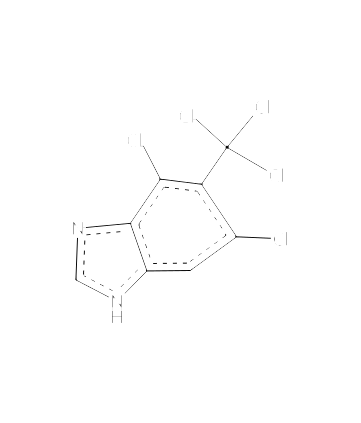 Clc1cc2[nH]cnc2c(Cl)c1C(Cl)(Cl)Cl